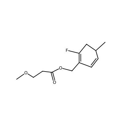 COCCC(=O)OCC1=C(F)CC(C)C=C1